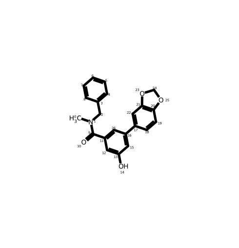 CN(Cc1ccccc1)C(=O)c1cc(O)cc(-c2ccc3c(c2)OCO3)c1